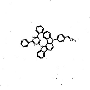 C=Cc1ccc(-n2c3ccccc3c3c2ccc2c4ccccc4n(-c4nc(-c5ccccc5)nc(-c5ccccc5)n4)c23)cc1